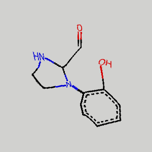 O=CC1NCCN1c1ccccc1O